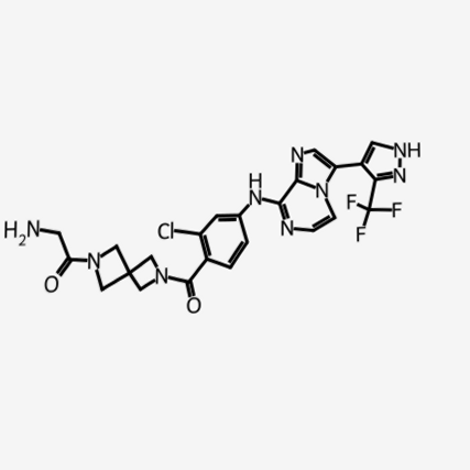 NCC(=O)N1CC2(C1)CN(C(=O)c1ccc(Nc3nccn4c(-c5c[nH]nc5C(F)(F)F)cnc34)cc1Cl)C2